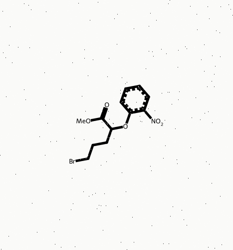 COC(=O)C(CCCBr)Oc1ccccc1[N+](=O)[O-]